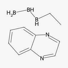 BBBCC.c1ccc2nccnc2c1